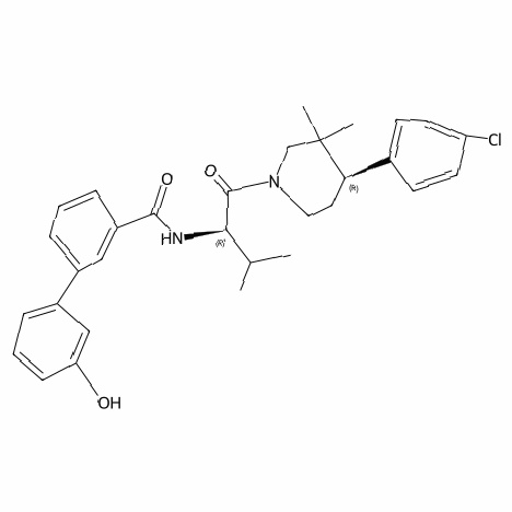 CC(C)[C@@H](NC(=O)c1cccc(-c2cccc(O)c2)c1)C(=O)N1CC[C@H](c2ccc(Cl)cc2)C(C)(C)C1